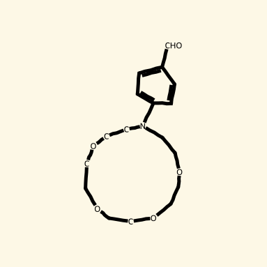 O=Cc1ccc(N2CCOCCOCCOCCOCC2)cc1